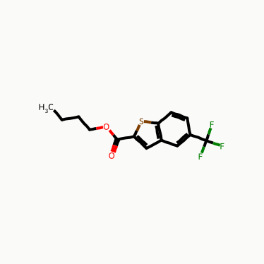 CCCCOC(=O)c1cc2cc(C(F)(F)F)ccc2s1